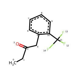 CCC(=O)Cc1ccccc1C(F)(F)F